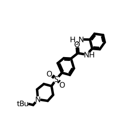 CC(C)(C)CN1CCC(S(=O)(=O)c2ccc(C(=O)Nc3ccccc3N)cc2)CC1